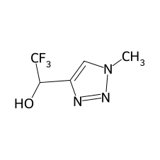 Cn1cc(C(O)C(F)(F)F)nn1